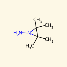 CC1(C)N(N)C1(C)C